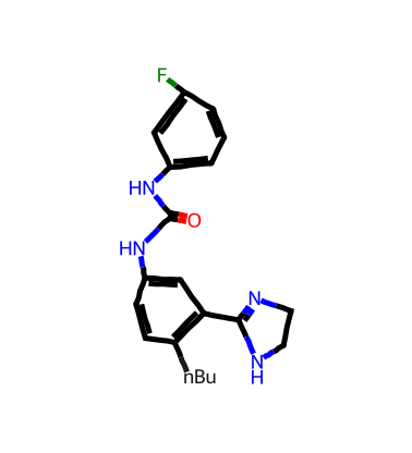 CCCCc1ccc(NC(=O)Nc2cccc(F)c2)cc1C1=NCCN1